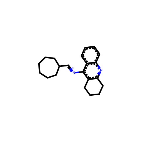 C(=N\c1c2c(nc3ccccc13)CCCC2)/C1CCCCCC1